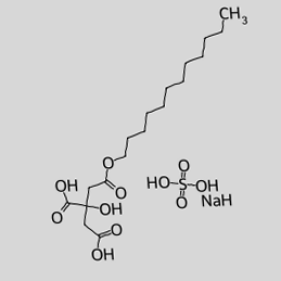 CCCCCCCCCCCCOC(=O)CC(O)(CC(=O)O)C(=O)O.O=S(=O)(O)O.[NaH]